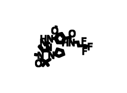 COc1cc(C(=O)NCCC(F)(F)F)ccc1Nc1ncc2c(n1)N(C1CCCC1)CC(C)(C)C(=O)N2C